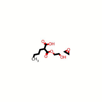 C1CO1.CCCCC(C(=O)O)C(=O)OCCO